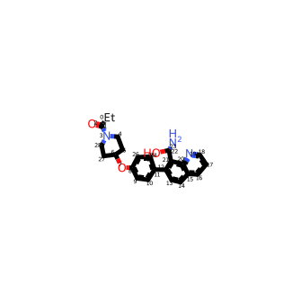 CCC(=O)N1CCC(Oc2ccc(-c3ccc4cccnc4c3C(N)O)cc2)CC1